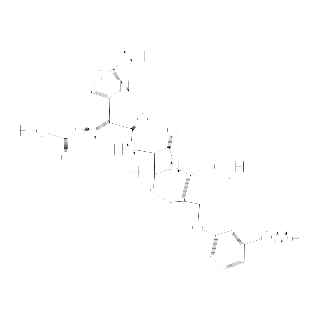 COc1cccc(OCC2=C(C(=O)O)N3C(=O)C(NC(=O)C(=NOC(=O)C(F)(F)F)c4csc(N)n4)[C@@H]3SC2)c1